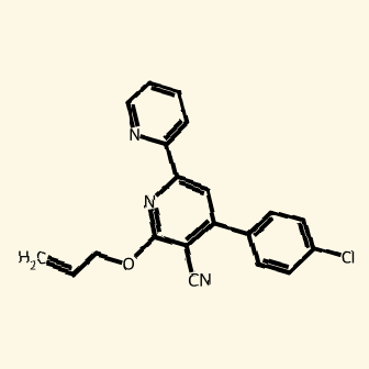 C=CCOc1nc(-c2ccccn2)cc(-c2ccc(Cl)cc2)c1C#N